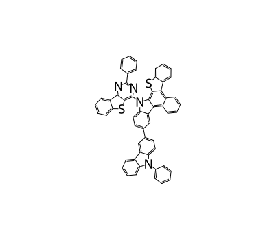 c1ccc(-c2nc(-n3c4ccc(-c5ccc6c(c5)c5ccccc5n6-c5ccccc5)cc4c4c5ccccc5c5c6ccccc6sc5c43)c3sc4ccccc4c3n2)cc1